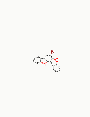 Brc1cc2c3ccccc3oc2c2c1oc1ccccc12